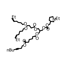 CC/C=C\CCCCOC(CCC(=O)OCC(COC(=O)CCCCC(=O)OCCC#CCCCC)COC(=O)OCC1CCCN(CC)C1)OCCCC/C=C\CC